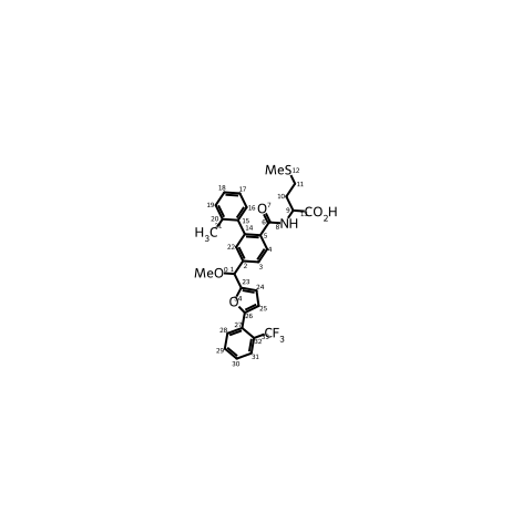 COC(c1ccc(C(=O)NC(CCSC)C(=O)O)c(-c2ccccc2C)c1)c1ccc(-c2ccccc2C(F)(F)F)o1